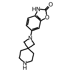 O=c1[nH]c2ccc(N3CC4(CCNCC4)C3)cc2o1